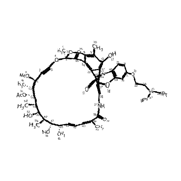 CO[C@H]1/C=C/O[C@@]2(C)Oc3c(C)c(O)c4c(=O)c(c5oc6cc(OCCN(C(C)C)C(C)C)ccc6nc-5c4c3C2=O)NC(=O)/C(C)=C\C=C\[C@H](C)[C@H](O)[C@@H](C)[C@@H](O)[C@@H](C)[C@H](OC(C)=O)[C@@H]1C